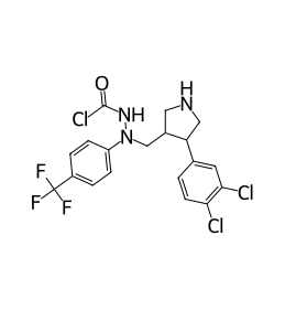 O=C(Cl)NN(CC1CNCC1c1ccc(Cl)c(Cl)c1)c1ccc(C(F)(F)F)cc1